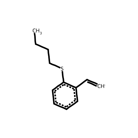 [CH]=Cc1ccccc1SCCCC